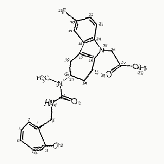 CN(C(=O)NCc1ccccc1Cl)[C@H]1CCc2c(c3cc(F)ccc3n2CC(=O)O)C1